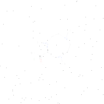 CC(=O)C1CN(C)CCN(C)CC[N]1[Ti+3].[Cl-].[Cl-].[Cl-]